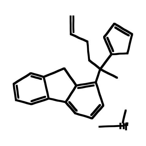 C=CCCC(C)(C1=CC=CC1)c1cccc2c1Cc1ccccc1-2.[CH3][Hf][CH3]